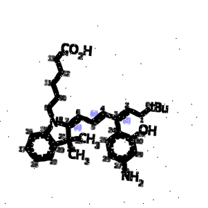 CC(C)(C)C/C=C(/C=C/C=C1/N(CCCCCC(=O)O)c2ccccc2C1(C)C)c1ccc(N)cc1O